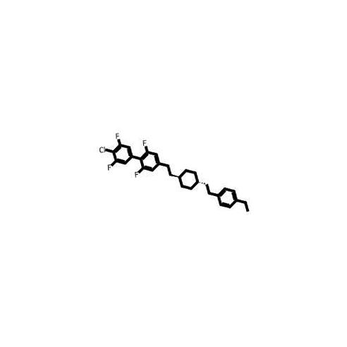 CCc1ccc(CC[C@H]2CC[C@H](CCc3cc(F)c(-c4cc(F)c(Cl)c(F)c4)c(F)c3)CC2)cc1